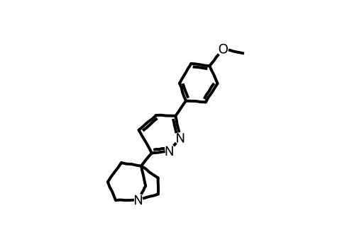 COc1ccc(-c2ccc(C34CCCN(CC3)C4)nn2)cc1